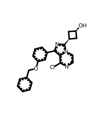 O[C@H]1C[C@@H](c2nc(-c3cccc(OCc4ccccc4)c3)c3c(Cl)nccn32)C1